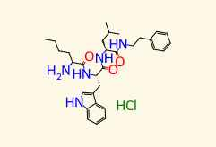 CCCC[C@H](N)C(=O)N[C@@H](Cc1c[nH]c2ccccc12)C(=O)N[C@@H](CC(C)C)C(=O)NCCc1ccccc1.Cl